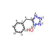 On1nnnc1Cc1ccccc1